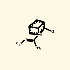 NC(=N[N+](=O)[O-])NC1c2cnc(Cl)c1c2